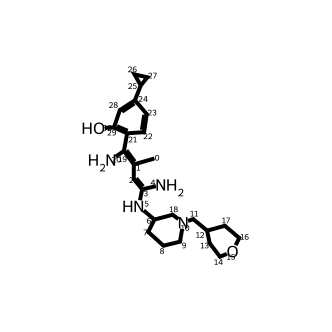 CC(/C=C(\N)NC1CCCN(CC2CCOCC2)C1)=C(/N)c1ccc(C2CC2)cc1O